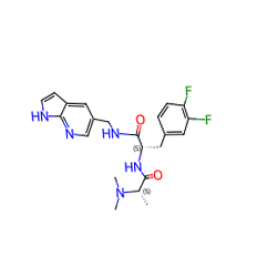 C[C@@H](C(=O)N[C@@H](Cc1ccc(F)c(F)c1)C(=O)NCc1cnc2[nH]ccc2c1)N(C)C